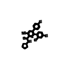 N#Cc1cc(-c2ccc(Cl)cc2)c(-c2ccc(Cl)cc2Cl)nc1C(=O)NC1CCCC1